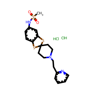 CS(=O)(=O)Nc1ccc2c(c1)SC1(CCN(CCc3ccccn3)CC1)S2.Cl.Cl